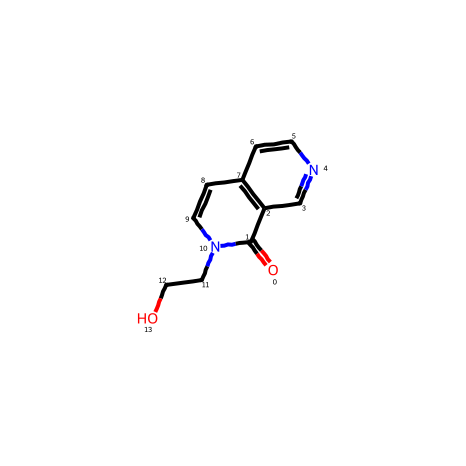 O=c1c2cnccc2ccn1CCO